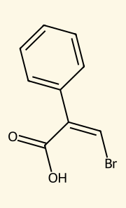 O=C(O)C(=CBr)c1ccccc1